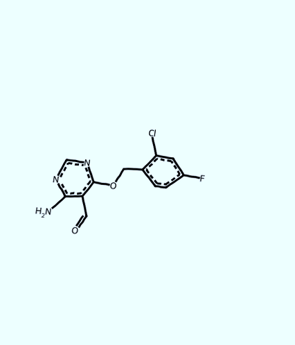 Nc1ncnc(OCc2ccc(F)cc2Cl)c1C=O